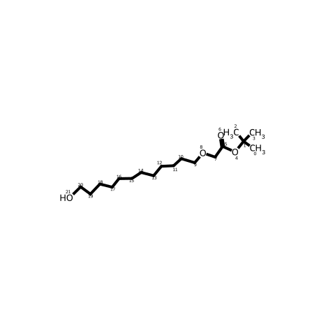 CC(C)(C)OC(=O)COCCCCCCCCCCCCO